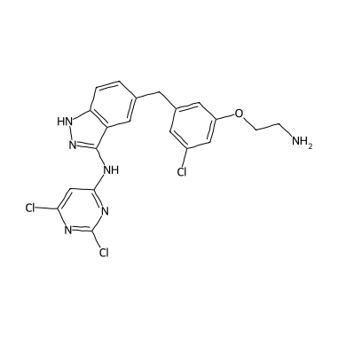 NCCOc1cc(Cl)cc(Cc2ccc3[nH]nc(Nc4cc(Cl)nc(Cl)n4)c3c2)c1